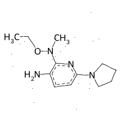 CCON(C)c1nc(N2CCCC2)ccc1N